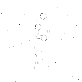 Nc1ncnc2c1c(-c1ccc(Oc3ccccc3)cc1)nn2[C@@H]1CCCN(C(=O)/C=C/CNC2CC2)C1